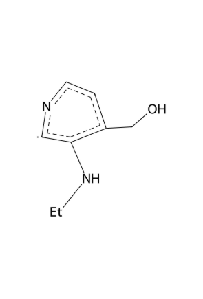 CCNc1[c]nccc1CO